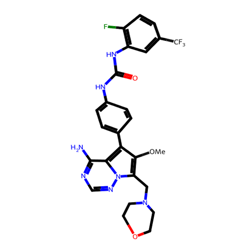 COc1c(-c2ccc(NC(=O)Nc3cc(C(F)(F)F)ccc3F)cc2)c2c(N)ncnn2c1CN1CCOCC1